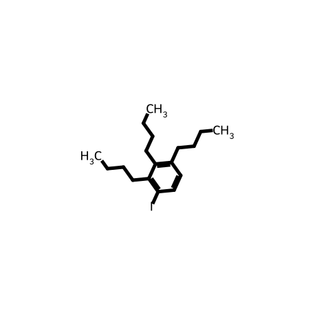 CCCCc1ccc(I)c(CCCC)c1CCCC